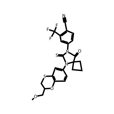 COCC1CSc2cc(N3C(=S)N(c4ccc(C#N)c(C(F)(F)F)c4)C(=O)C34CCC4)ccc2O1